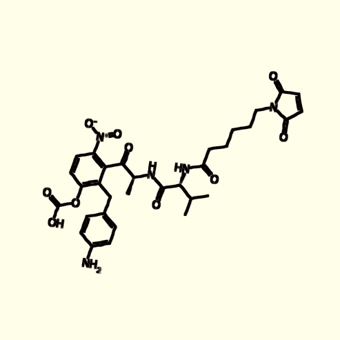 CC(C)[C@H](NC(=O)CCCCCN1C(=O)C=CC1=O)C(=O)N[C@@H](C)C(=O)c1c([N+](=O)[O-])ccc(OC(=O)O)c1Cc1ccc(N)cc1